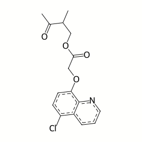 CC(=O)C(C)COC(=O)COc1ccc(Cl)c2cccnc12